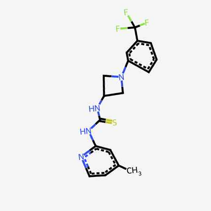 Cc1ccnc(NC(=S)NC2CN(c3cccc(C(F)(F)F)c3)C2)c1